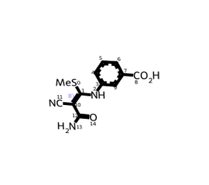 CS/C(Nc1cccc(C(=O)O)c1)=C(\C#N)C(N)=O